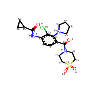 O=C(Nc1ccc(C(=O)N2CCS(=O)(=O)CC2)c(N2CCCC2)c1Cl)C1CC1